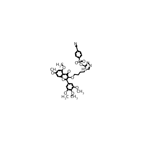 COc1cc(OC)c2c(=O)c(OCCCC[SH]3C=NN=C3OS(=O)(=O)c3ccc(C#N)cc3)c(-c3cc(OC)c(OC)c(OC)c3)oc2c1